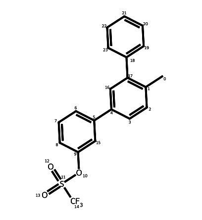 Cc1ccc(-c2cccc(OS(=O)(=O)C(F)(F)F)c2)cc1-c1ccccc1